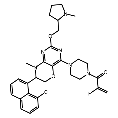 C=C(F)C(=O)N1CCN(c2nc(OCC3CCCN3C)nc3c2OCC(c2cccc4cccc(Cl)c24)N3C)CC1